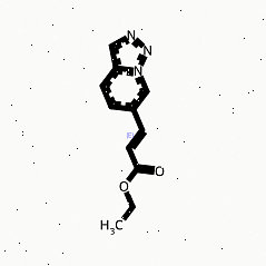 CCOC(=O)/C=C/c1ccc2cnnn2c1